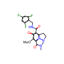 COc1c2n3c(c(C(=O)NCc4c(F)cc(F)cc4F)c1=O)CCN3CN(C)C2=O